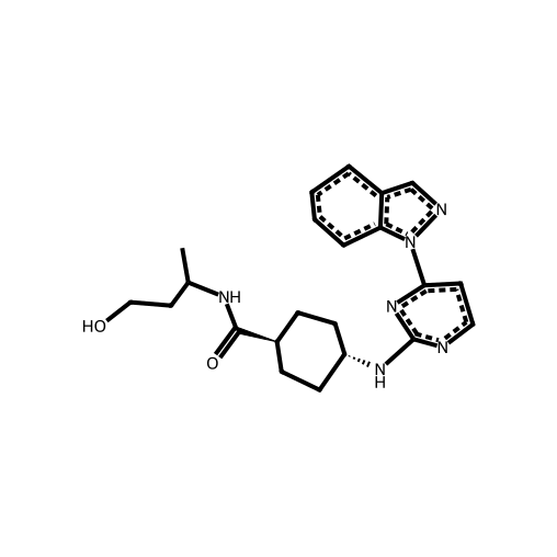 CC(CCO)NC(=O)[C@H]1CC[C@H](Nc2nccc(-n3ncc4ccccc43)n2)CC1